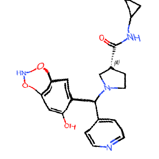 O=C(NC1CC1)[C@@H]1CCN(C(c2ccncc2)c2cc3c(cc2O)ONO3)C1